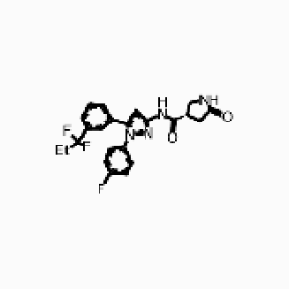 CCC(F)(F)c1cccc(-c2cc(NC(=O)[C@H]3CNC(=O)C3)nn2-c2ccc(F)cc2)c1